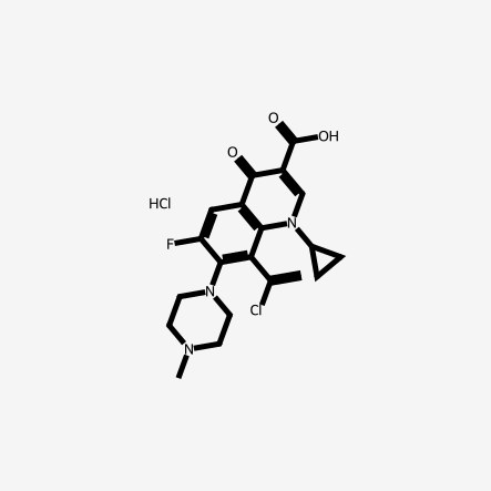 C=C(Cl)c1c(N2CCN(C)CC2)c(F)cc2c(=O)c(C(=O)O)cn(C3CC3)c12.Cl